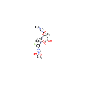 C/C(=C\c1cc(F)cc(N2CCN(C(=O)C(C)O)CC2)c1)[C@H]1OC(=O)C[C@@H](O)CC[C@@H](C)[C@@H](OC(=O)N2CCN(C)CC2)/C=C/[C@@H]1C